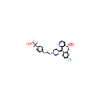 CC(C)(C(=O)O)c1ccc(CCCN2CCC(=C3c4ccc(Cl)cc4CC(O)c4cccnc43)CC2)cc1